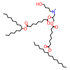 CCCCCCCCC(CCCCCC)OC(=O)CCCCCCC(=O)OCC(CN(C)CCCCO)OC(=O)CCCCCCC(=O)OC(CCCCCC)CCCCCCCC